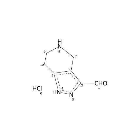 Cl.O=Cc1n[nH]c2c1CNCC2